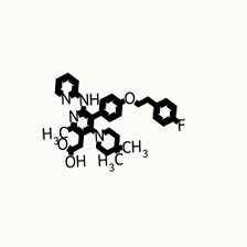 Cc1nc(Nc2ccccn2)c(-c2ccc(OCCc3ccc(F)cc3)cc2)c(N2CCC(C)(C)CC2)c1CC(=O)O